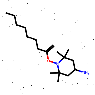 C=C(CCCCCCC)ON1C(C)(C)CC(N)CC1(C)C